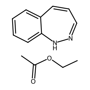 C1=Cc2ccccc2NN=C1.CCOC(C)=O